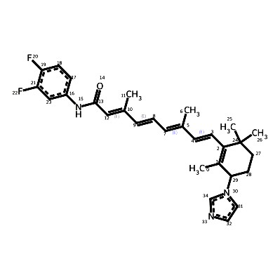 CC1=C(/C=C/C(C)=C/C=C/C(C)=C/C(=O)Nc2ccc(F)c(F)c2)C(C)(C)CCC1n1ccnc1